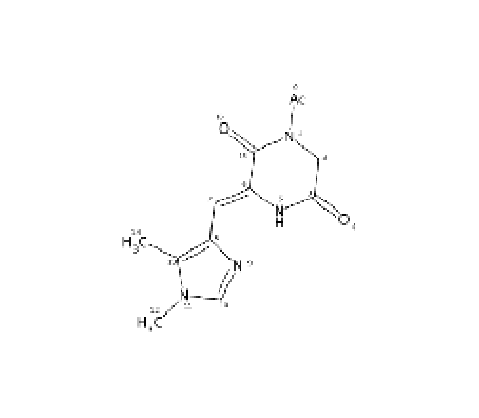 CC(=O)N1CC(=O)N/C(=C\c2ncn(C)c2C)C1=O